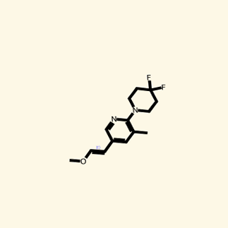 CO/C=C/c1cnc(N2CCC(F)(F)CC2)c(C)c1